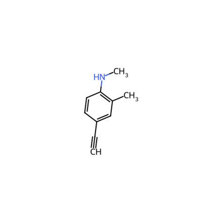 C#Cc1ccc(NC)c(C)c1